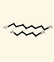 CCCCCCCCCC.CCCCCCO